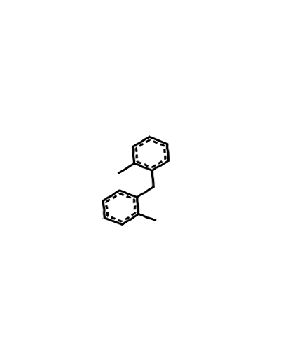 Cc1c[c]ccc1Cc1cc[c]cc1C